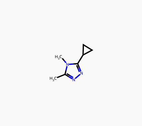 Cc1nnc(C2CC2)n1C